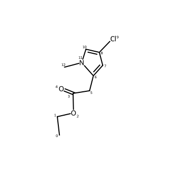 CCOC(=O)Cc1cc(Cl)cn1C